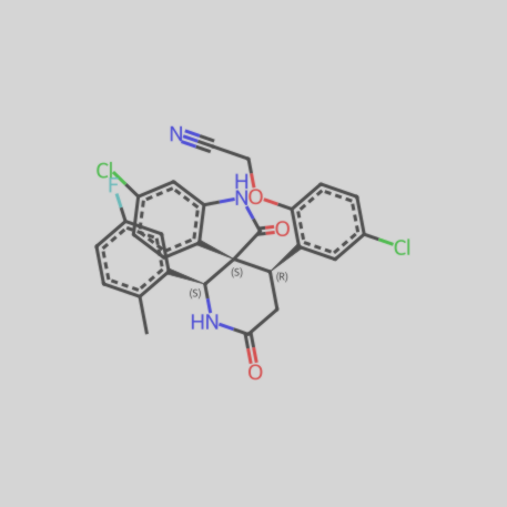 Cc1ccc(F)cc1[C@@H]1NC(=O)C[C@H](c2cc(Cl)ccc2OCC#N)[C@@]12C(=O)Nc1cc(Cl)ccc12